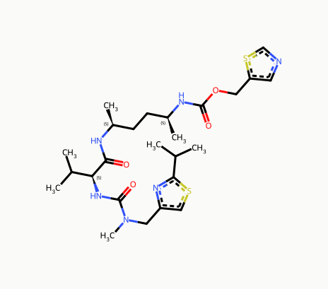 CC(C)c1nc(CN(C)C(=O)N[C@H](C(=O)N[C@@H](C)CC[C@H](C)NC(=O)OCc2cncs2)C(C)C)cs1